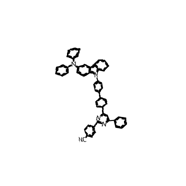 N#Cc1ccc(-c2nc(-c3ccccc3)cc(-c3ccc(-c4ccc(-n5c6ccccc6c6cc(N(c7ccccc7)c7ccccc7)ccc65)cc4)cc3)n2)cc1